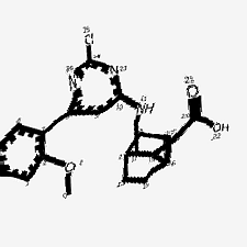 COc1ccccc1-c1cc(NC2C3CCC(CC3)C2C(=O)O)nc(Cl)n1